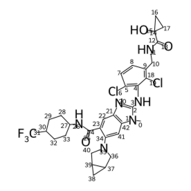 Cn1c(Nc2c(Cl)ccc(CNC(=O)C3(O)CC3)c2Cl)nc2cc(C(=O)NC3CCC(C(F)(F)F)CC3)c(N3CC4CC4C3)cc21